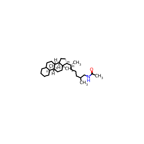 CC(=O)NCC(C)CCC[C@@H](C)[C@H]1CC[C@H]2[C@@H]3CCC4CCCC[C@]4(C)[C@H]3CC[C@]12C